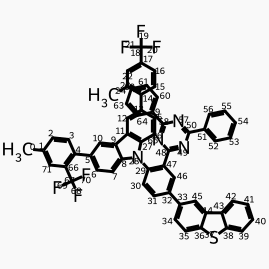 Cc1ccc(-c2ccc3c(c2)c2cc(-c4ccc(C(F)(F)F)cc4C)ccc2n3-c2ccc(-c3ccc4sc5ccccc5c4c3)cc2-c2nc(-c3ccccc3)nc(-c3ccccc3)n2)c(C(F)(F)F)c1